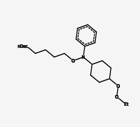 [CH2]COOC1CCC(N(OCCCCCCCCCCCCCC)c2ccccc2)CC1